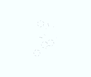 Cc1c(-c2ccccc2)nc2ccc(Br)cc2c1C(=O)NCC(C)(C(=O)O)c1ccccc1F